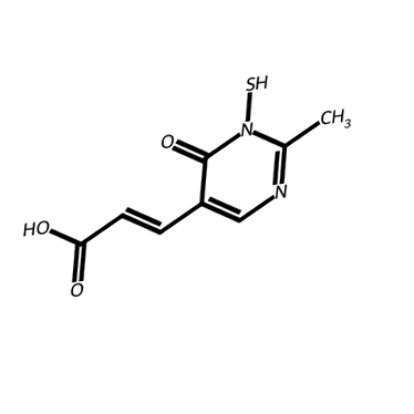 Cc1ncc(C=CC(=O)O)c(=O)n1S